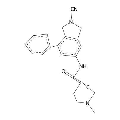 CN1CCC(C(=O)Nc2cc3c(c(-c4ccccc4)c2)CN(C#N)C3)CC1